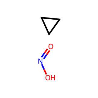 C1CC1.O=NO